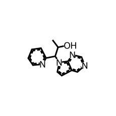 CC(O)C(c1ccccn1)n1ccc2cncnc21